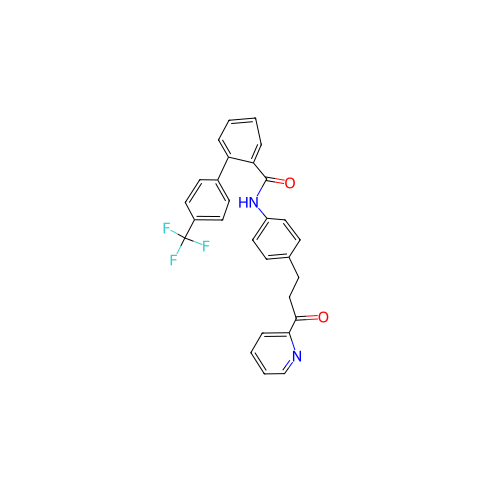 O=C(CCc1ccc(NC(=O)c2ccccc2-c2ccc(C(F)(F)F)cc2)cc1)c1ccccn1